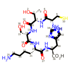 C[C@@H](O)[C@H](NC(=O)[C@@H](N)CS)C(=O)N[C@@H](CO)C(=O)N[C@@H](CCCCN)C(=O)N[C@@H](Cc1c[nH]cn1)C(=O)O